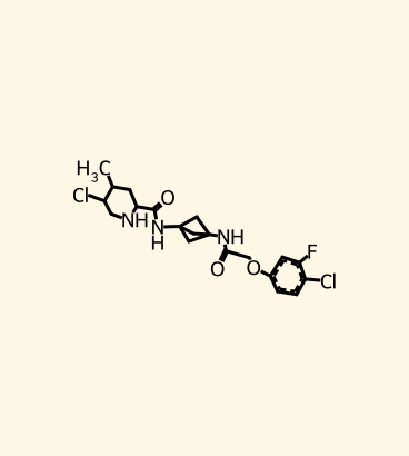 CC1CC(C(=O)NC23CC(NC(=O)COc4ccc(Cl)c(F)c4)(C2)C3)NCC1Cl